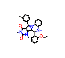 CCOc1ccccc1C1Nc2ccccc2-n2c(-c3cccc(C)c3)c3c(=O)n(C)c(=O)n(C)c3c21